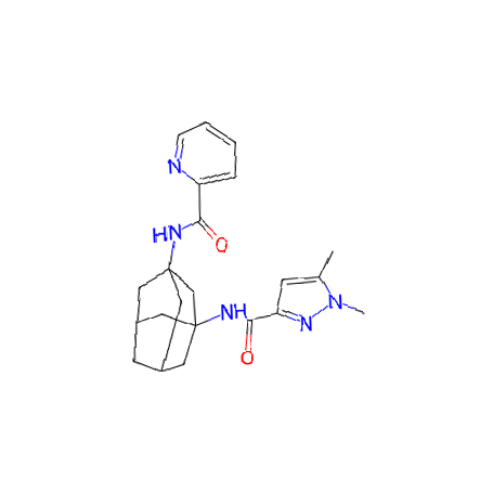 Cc1cc(C(=O)NC23CC4CC(CC(NC(=O)c5ccccn5)(C4)C2)C3)nn1C